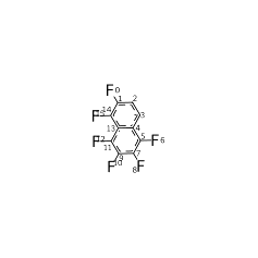 Fc1c[c]c2c(F)c(F)c(F)c(F)c2c1F